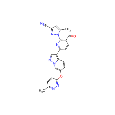 Cc1ccc(Oc2ccc3c(-c4ccc(C=O)c(-n5nc(C#N)cc5C)n4)cnn3c2)nn1